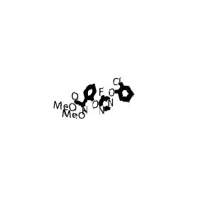 CON=C(C(=O)OC)c1ccccc1Oc1ncnc(Oc2ccccc2Cl)c1F